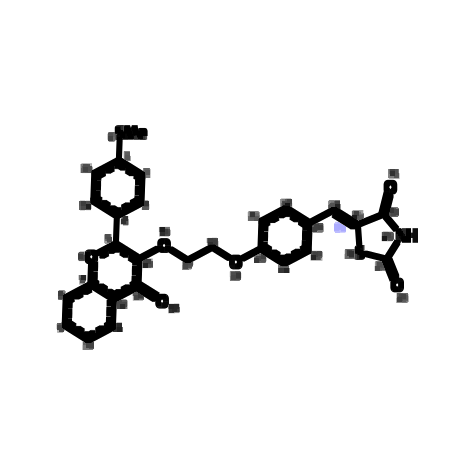 CSc1ccc(-c2oc3ccccc3c(=O)c2OCCOc2ccc(/C=C3\SC(=O)NC3=O)cc2)cc1